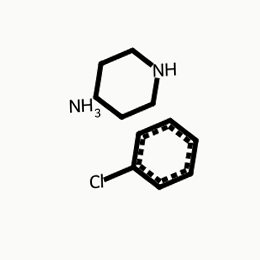 C1CCNCC1.Clc1ccccc1.N